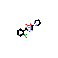 C[C@H](NC(=O)c1ccccc1Cl)C(=O)N1CCCC1